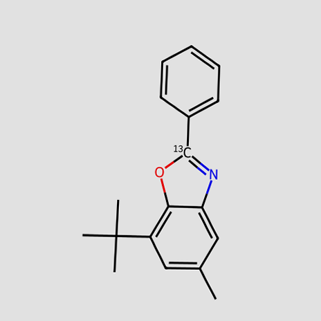 Cc1cc(C(C)(C)C)c2o[13c](-c3ccccc3)nc2c1